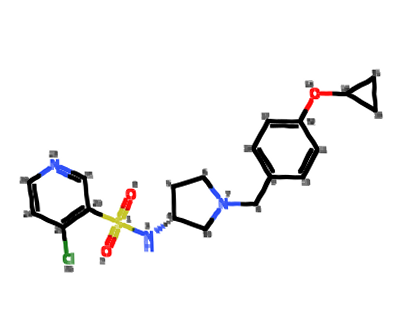 O=S(=O)(N[C@@H]1CCN(Cc2ccc(OC3CC3)cc2)C1)c1cnccc1Cl